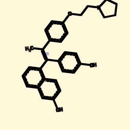 C/C(=C(/c1ccc(O)cc1)c1cccc2cc(O)ccc12)c1ccc(OCCN2CCCC2)cc1